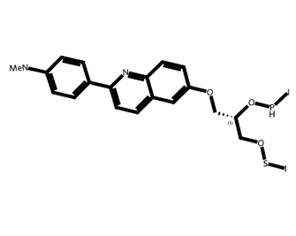 CNc1ccc(-c2ccc3cc(OC[C@@H](COSI)OPI)ccc3n2)cc1